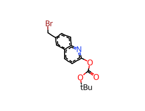 CC(C)(C)OC(=O)Oc1ccc2cc(CBr)ccc2n1